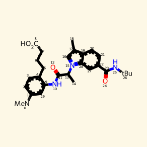 CNc1ccc(CCCC(=O)O)c(NC(=O)C(C)n2cc(C)c3ccc(C(=O)NC(C)(C)C)cc32)c1